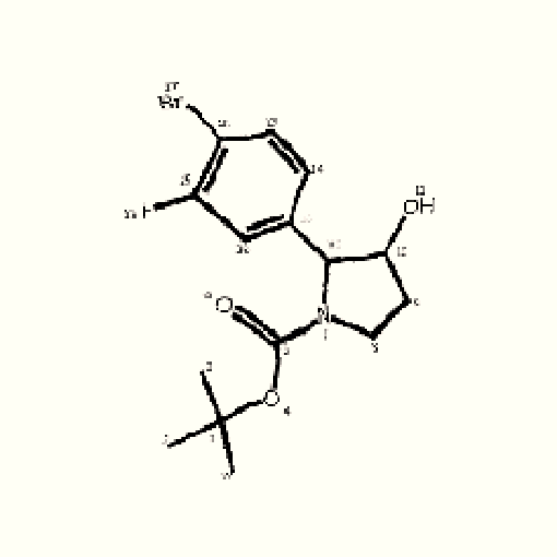 CC(C)(C)OC(=O)N1CCC(O)C1c1ccc(Br)c(F)c1